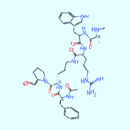 CN[C@H](C)C(=O)NC(Cc1c[nH]c2ccccc12)C(=O)NC(CCCNC(=N)N)C(=O)NCCC[C@H](NC(=O)[C@H](Cc1ccccc1)NC(C)=O)C(=O)N1CCCC1C=O